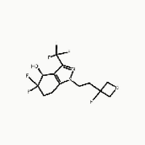 O[C@H]1c2c(C(F)(F)F)nn(CCC3(F)COC3)c2CCC1(F)F